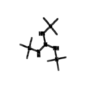 C[Si](C)(C)[NH][Bi]([NH][Si](C)(C)C)[NH][Si](C)(C)C